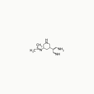 CS(C)=NC1CNCC(/C(C=N)=C/N)C1